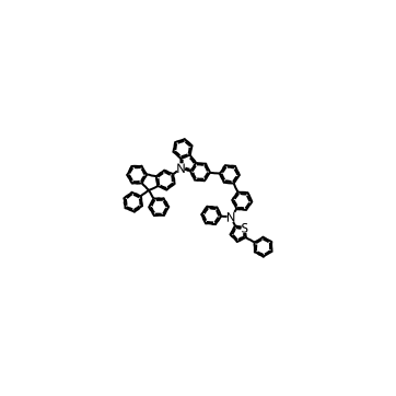 c1ccc(-c2ccc(N(c3ccccc3)c3cccc(-c4cccc(-c5ccc6c(c5)c5ccccc5n6-c5ccc6c(c5)-c5ccccc5C6(c5ccccc5)c5ccccc5)c4)c3)s2)cc1